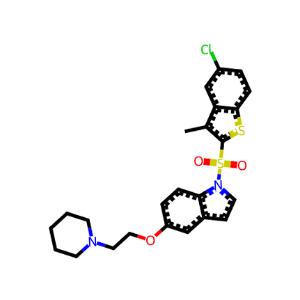 Cc1c(S(=O)(=O)n2ccc3cc(OCCN4CCCCC4)ccc32)sc2ccc(Cl)cc12